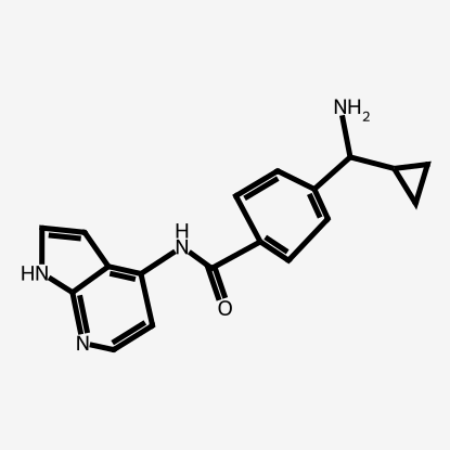 NC(c1ccc(C(=O)Nc2ccnc3[nH]ccc23)cc1)C1CC1